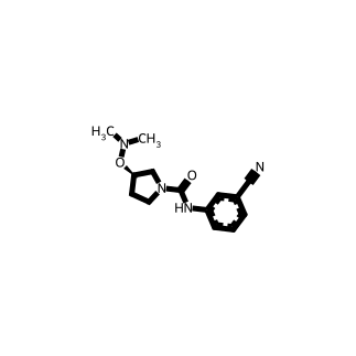 CN(C)O[C@@H]1CCN(C(=O)Nc2cccc(C#N)c2)C1